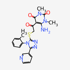 Cc1ccccc1-n1c(SCC(=O)c2c(N)n(C)c(=O)n(C)c2=O)nnc1-c1cccnc1